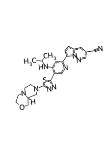 CC(C)Nc1cc(-c2ccc3cc(C#N)cnn23)ncc1-c1nnc(N2CCN3CCOC[C@H]3C2)s1